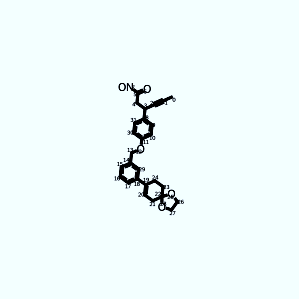 CC#CC(CC(=O)N=O)c1ccc(OCc2cccc(C3=CCC4(CC3)OCCO4)c2)cc1